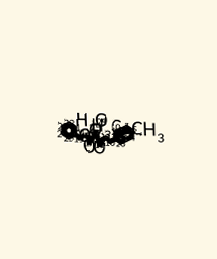 CC12CC3CC(C)(C1)CC(CCC(=O)C(=O)C(=O)OCc1ccccc1)(C3)C2.O